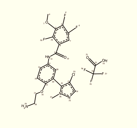 COc1c(F)c(F)cc(C(=O)Nc2ccc(OCCN)c(-c3c(Cl)cnn3C)c2)c1F.O=C(O)C(F)(F)F